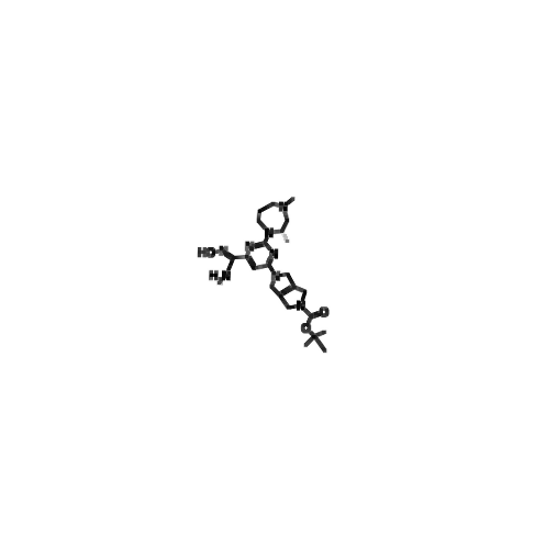 C[C@H]1CN(C)CCCN1c1nc(/C(N)=N/O)cc(N2CC3=C(CN(C(=O)OC(C)(C)C)C3)C2)n1